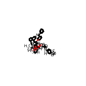 CC(C)[Si](C#Cc1cccc2cc(N=C(c3ccccc3)c3ccccc3)cc(-c3ncc4c(N5C[C@H]6CC[C@@H](C5)N6C(=O)OC(C)(C)C)nc(OCC(=O)Nc5ccc(S(=O)(=O)F)cc5)nc4c3F)c12)(C(C)C)C(C)C